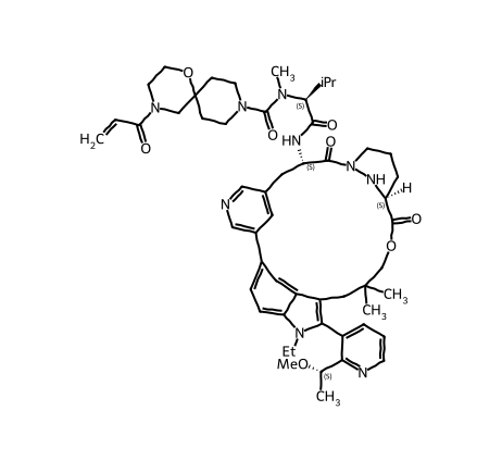 C=CC(=O)N1CCOC2(CCN(C(=O)N(C)[C@H](C(=O)N[C@H]3Cc4cncc(c4)-c4ccc5c(c4)c(c(-c4cccnc4[C@H](C)OC)n5CC)CC(C)(C)COC(=O)[C@@H]4CCCN(N4)C3=O)C(C)C)CC2)C1